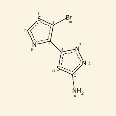 Nc1nnc(-c2ncsc2Br)s1